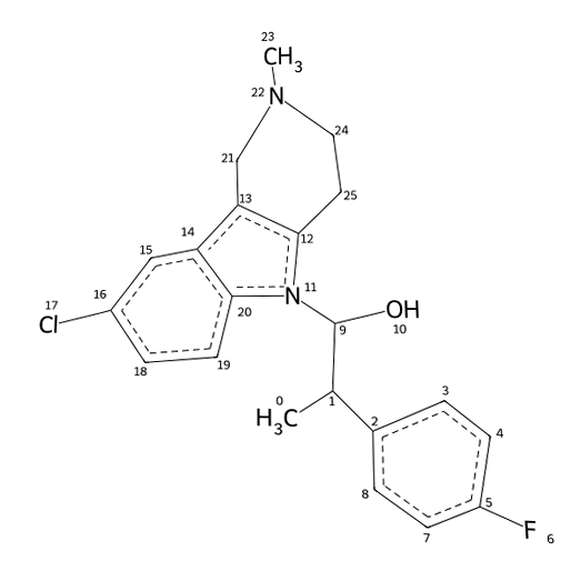 CC(c1ccc(F)cc1)C(O)n1c2c(c3cc(Cl)ccc31)CN(C)CC2